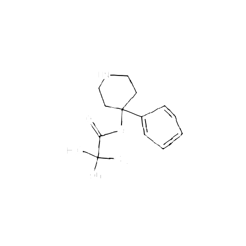 CC(O)(C(=O)OC1(c2ccccc2)CCNCC1)C(F)(F)F